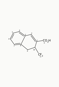 O=C(O)C1=Cc2ccccc2CC1C(F)(F)F